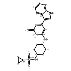 O=c1cc(-c2c[nH]c3ncccc23)cc(N[C@H]2CC[C@H](NS(=O)(=O)C3CC3)CC2)[nH]1